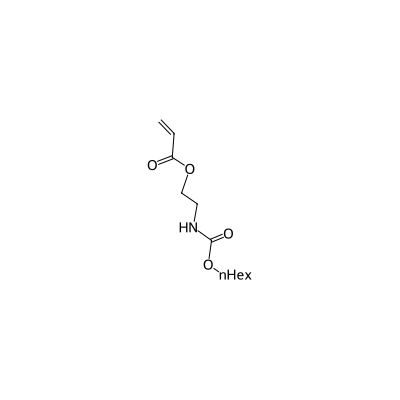 C=CC(=O)OCCNC(=O)OCCCCCC